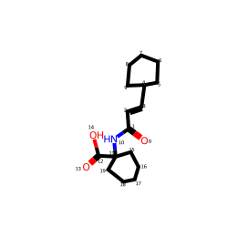 O=C(/C=C/C1CCCCC1)NC1(C(=O)O)CCCCC1